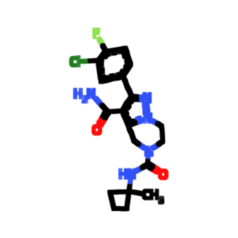 CC1(NC(=O)N2CCn3nc(-c4ccc(F)c(Cl)c4)c(C(N)=O)c3C2)CCC1